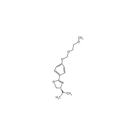 COCCOCOc1ccc(C2=N[C@@H](C(C)C)CO2)cc1